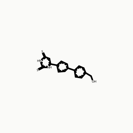 OCc1ccc(-c2ccc(-c3cc(=S)[nH]c(=S)[nH]3)cc2)cc1